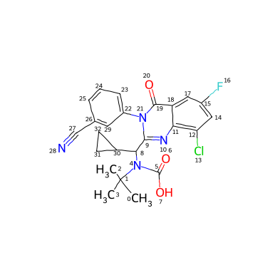 CC(C)(C)N(C(=O)O)C(c1nc2c(Cl)cc(F)cc2c(=O)n1-c1cccc(C#N)c1)C1CC1